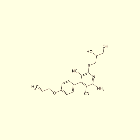 C=CCOc1ccc(-c2c(C#N)c(N)nc(SCC(O)CO)c2C#N)cc1